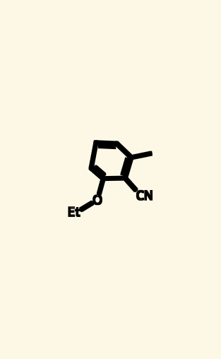 CCOc1cccc(C)c1C#N